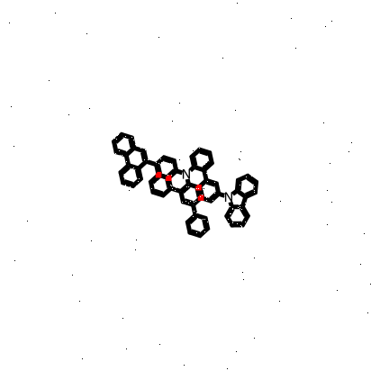 c1ccc(-c2ccc(N(c3ccc(-c4cc5ccccc5c5ccccc45)cc3)c3ccccc3-c3cccc(-n4c5ccccc5c5ccccc54)c3)c(-c3ccccc3)c2)cc1